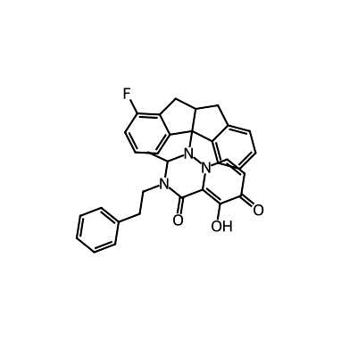 CC1N(CCc2ccccc2)C(=O)c2c(O)c(=O)ccn2N1C12c3ccccc3CC1Cc1c(F)cccc12